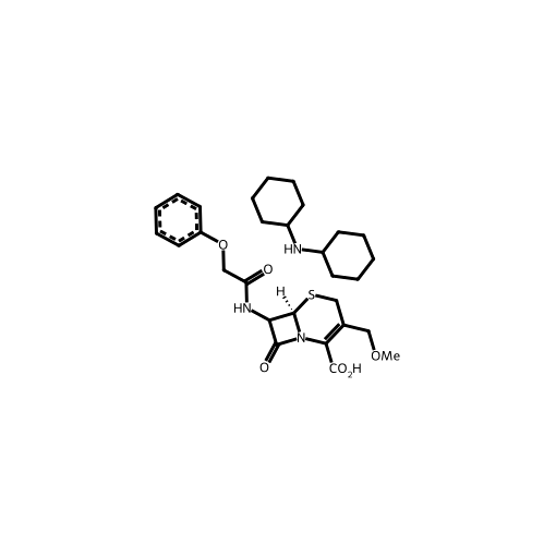 C1CCC(NC2CCCCC2)CC1.COCC1=C(C(=O)O)N2C(=O)C(NC(=O)COc3ccccc3)[C@H]2SC1